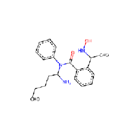 NC(CCCC=O)N(C(=O)c1ccccc1C(C=O)NO)c1ccccc1